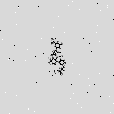 COc1ccc(CC(C)(C)C(N)=O)cc1C1=C(CN2C(=O)O[C@H](c3cc(C)cc(C(F)(F)F)c3)[C@@H]2C)CC(C)(C)CC1